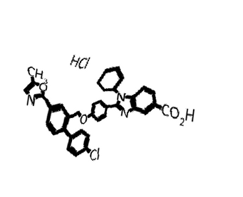 Cc1cnc(-c2ccc(-c3ccc(Cl)cc3)c(COc3ccc(-c4nc5cc(C(=O)O)ccc5n4C4CCCCC4)cc3)c2)o1.Cl